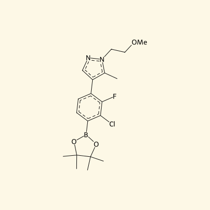 COCCn1ncc(-c2ccc(B3OC(C)(C)C(C)(C)O3)c(Cl)c2F)c1C